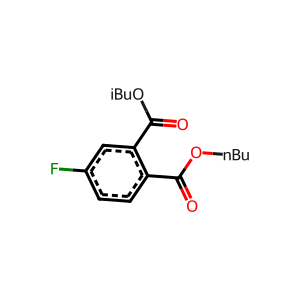 CCCCOC(=O)c1ccc(F)cc1C(=O)OCC(C)C